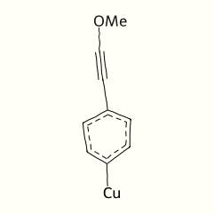 COC#Cc1cc[c]([Cu])cc1